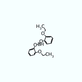 CCOc1ccccc1OBOc1ccccc1OCC